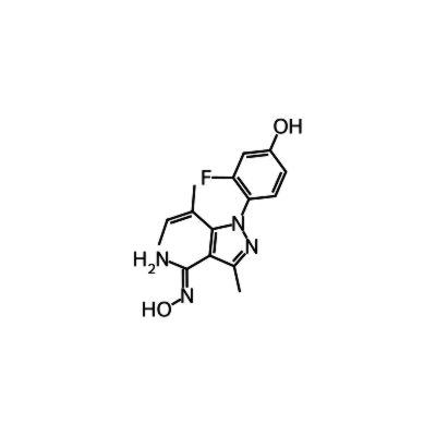 C/C=C(/C)c1c(/C(N)=N/O)c(C)nn1-c1ccc(O)cc1F